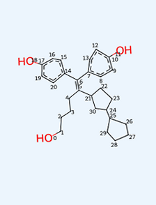 OCCCCC(=C(c1ccc(O)cc1)c1ccc(O)cc1)C1CCC(C2CCCC2)C1